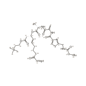 C=C(NC(=O)c1csc(CNC(=O)OC(C)(C)C)n1)C(=O)N[C@H](C(=O)O[C@H](/C=C/CCSC(=O)CCCCCCC)CC(=O)OCC[Si](C)(C)C)C(C)C